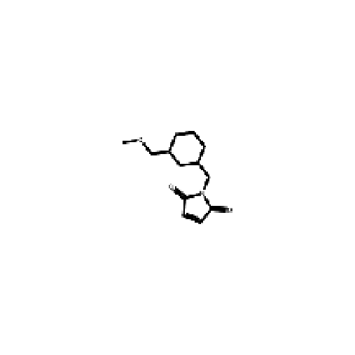 COCC1CCCC(CN2C(=O)C=CC2=O)C1